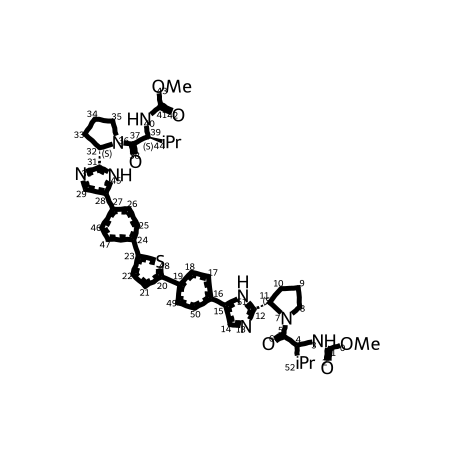 COC(=O)NC(C(=O)N1CCC[C@H]1c1ncc(-c2ccc(-c3ccc(-c4ccc(-c5cnc([C@@H]6CCCN6C(=O)[C@@H](NC(=O)OC)C(C)C)[nH]5)cc4)s3)cc2)[nH]1)C(C)C